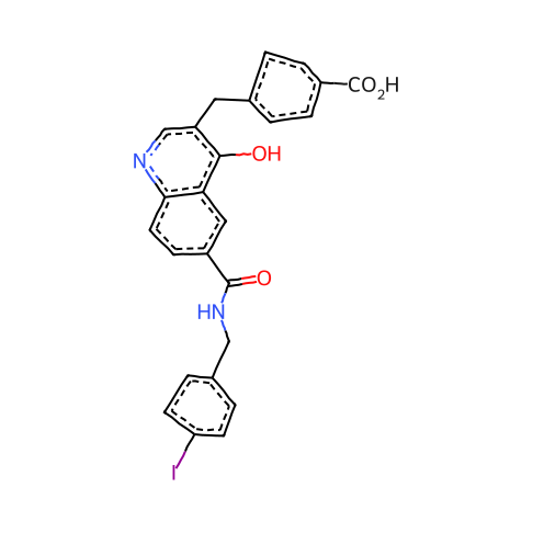 O=C(O)c1ccc(Cc2cnc3ccc(C(=O)NCc4ccc(I)cc4)cc3c2O)cc1